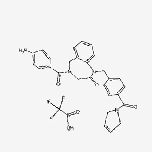 Nc1ccc(C(=O)N2CC(=O)N(Cc3ccc(C(=O)N4CC=CC4)cc3)c3ccccc3C2)cc1.O=C(O)C(F)(F)F